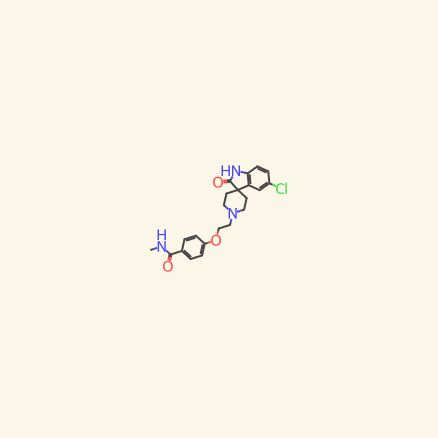 CNC(=O)c1ccc(OCCN2CCC3(CC2)C(=O)Nc2ccc(Cl)cc23)cc1